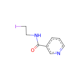 O=C(NCCI)c1cccnc1